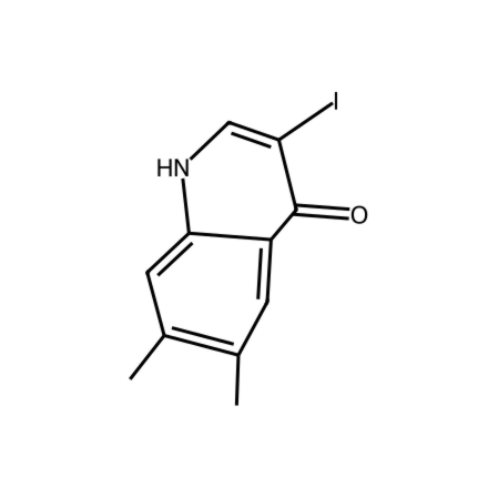 Cc1cc2[nH]cc(I)c(=O)c2cc1C